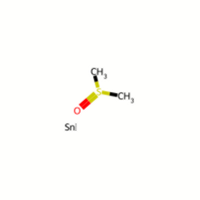 CS(C)=O.[Sn]